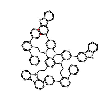 c1ccc(-c2cccc(-c3ccccc3)c2CCN2c3cc(-c4ccc5sc6ccccc6c5c4)ccc3B3c4ccc(-c5ccc6sc7ccccc7c6c5)cc4N(CCc4c(-c5ccccc5)cccc4-c4ccccc4)c4cc(CCn5c6ccccc6c6ccccc65)cc2c43)cc1